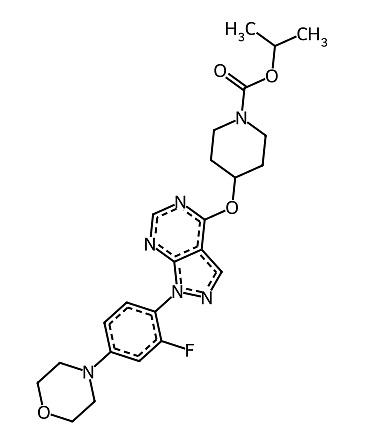 CC(C)OC(=O)N1CCC(Oc2ncnc3c2cnn3-c2ccc(N3CCOCC3)cc2F)CC1